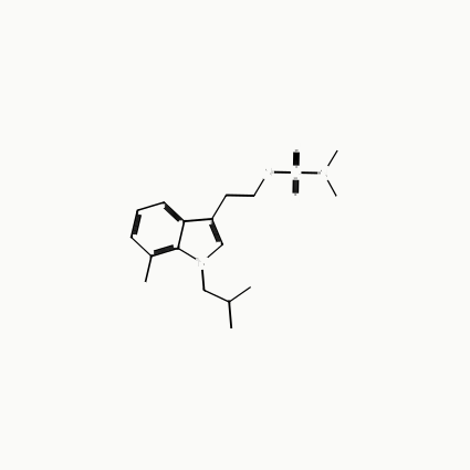 Cc1cccc2c(CCNS(=O)(=O)N(C)C)cn(CC(C)C)c12